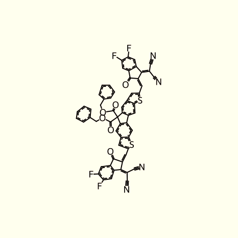 N#CC(C#N)=C1/C(=C/c2cc3cc4c(cc3s2)-c2cc3sc(/C=C5\C(=O)c6cc(F)c(F)cc6C5=C(C#N)C#N)cc3cc2C4(C(=O)OCc2ccccc2)C(=O)OCc2ccccc2)C(=O)c2cc(F)c(F)cc21